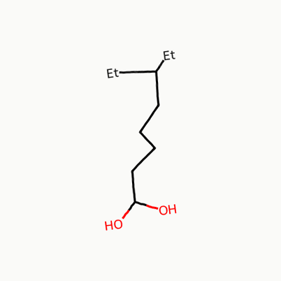 CCC(CC)CCCCC(O)O